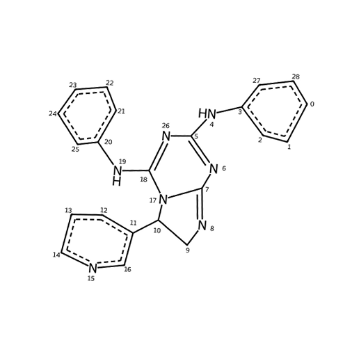 c1ccc(NC2=NC3=NCC(c4cccnc4)N3C(Nc3ccccc3)=N2)cc1